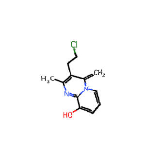 C=C1C(CCCl)=C(C)N=C2C(O)=CC=CN12